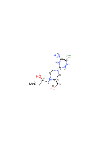 COC[C@@H](O)CN1CCN(c2nnc(Cl)c(N)n2)C[C@H]1CO